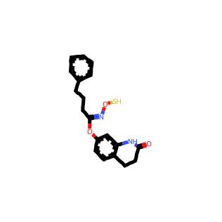 O=C1CCc2ccc(OC(CCCc3ccccc3)=NOS)cc2N1